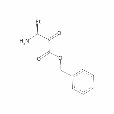 CC[C@H](N)C(=O)C(=O)OCc1ccccc1